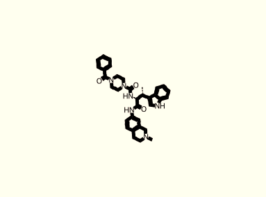 C[C@H](c1c[nH]c2ccccc12)[C@@H](NC(=O)N1CCN(C(=O)c2ccccc2)CC1)C(=O)Nc1ccc2c(c1)CN(C)CC2